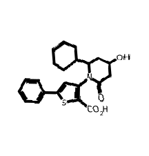 O=C(O)c1sc(-c2ccccc2)cc1N1C(=O)CC(O)CC1C1CCCCC1